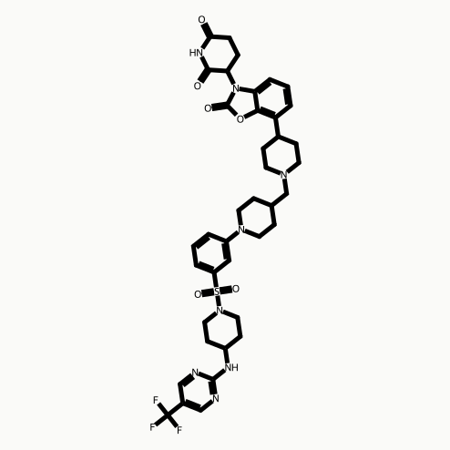 O=C1CCC(n2c(=O)oc3c(C4CCN(CC5CCN(c6cccc(S(=O)(=O)N7CCC(Nc8ncc(C(F)(F)F)cn8)CC7)c6)CC5)CC4)cccc32)C(=O)N1